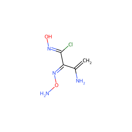 C=C(N)C(=N\ON)/C(Cl)=N/O